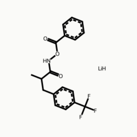 CC(Cc1ccc(C(F)(F)F)cc1)C(=O)NOC(=O)c1ccccc1.[LiH]